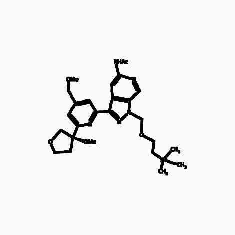 COCc1cc(-c2nn(COCC[Si](C)(C)C)c3cnc(NC(C)=O)cc23)nc([C@]2(OC)CCOC2)c1